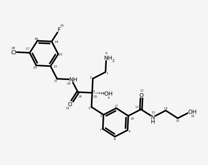 NCC[C@@](O)(Cc1cccc(C(=O)NCCO)c1)C(=O)NCc1cc(F)cc(Cl)c1